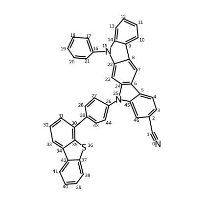 N#Cc1ccc2c3cc4c5ccccc5n(-c5ccccc5)c4cc3n(-c3ccc(-c4cccc5c4sc4ccccc45)cc3)c2c1